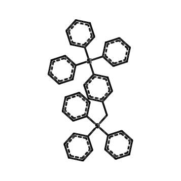 c1ccc([Si](Cc2ccc([Si](c3ccccc3)(c3ccccc3)c3ccccc3)cc2)(c2ccccc2)c2ccccc2)cc1